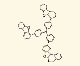 c1cc(-c2ccc3oc4ccc5ccccc5c4c3c2)cc(N(c2ccc(-c3cccc4c3oc3ccccc34)cc2)c2ccc(-c3cccc4c3oc3ccccc34)cc2)c1